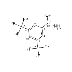 N[C@@H](O)c1cc(C(F)(F)F)cc(C(F)(F)F)c1